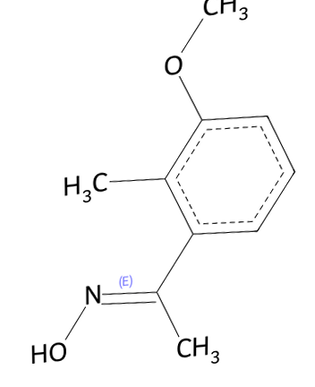 COc1cccc(/C(C)=N/O)c1C